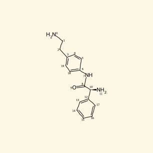 NCCc1ccc(NC(=O)[C@@H](N)c2ccccc2)cc1